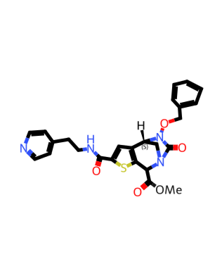 COC(=O)C1c2sc(C(=O)NCCc3ccncc3)cc2[C@H]2CN1C(=O)N2OCc1ccccc1